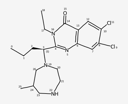 CCC[C@@H](c1nc2cc(Cl)c(Cl)cc2c(=O)n1CC)N1CCNCC(C)C1